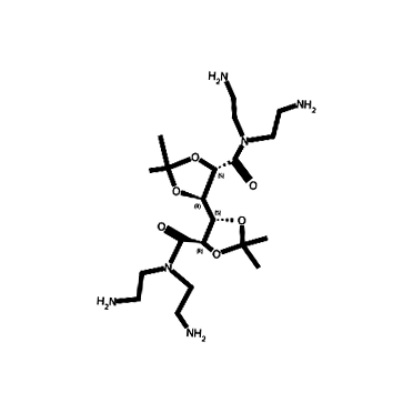 CC1(C)O[C@H]([C@@H]2OC(C)(C)O[C@H]2C(=O)N(CCN)CCN)[C@@H](C(=O)N(CCN)CCN)O1